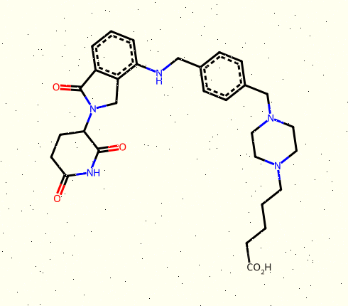 O=C(O)CCCCN1CCN(Cc2ccc(CNc3cccc4c3CN(C3CCC(=O)NC3=O)C4=O)cc2)CC1